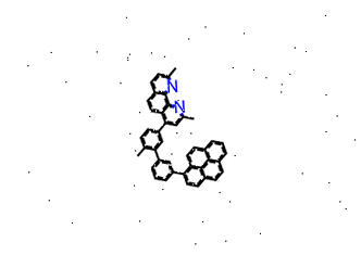 Cc1ccc2ccc3c(-c4ccc(C)c(-c5cccc(-c6ccc7ccc8cccc9ccc6c7c89)c5)c4)cc(C)nc3c2n1